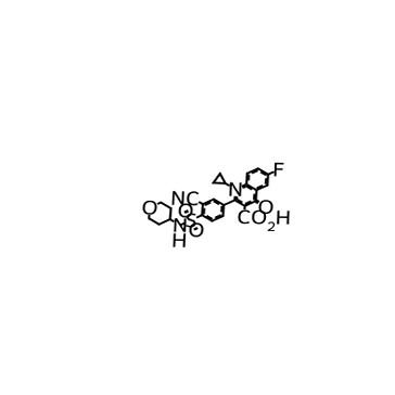 N#Cc1cc(-c2c(C(=O)O)c(=O)c3cc(F)ccc3n2C2CC2)ccc1S(=O)(=O)NC1CCOCC1